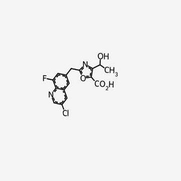 CC(O)c1nc(Cc2cc(F)c3ncc(Cl)cc3c2)oc1C(=O)O